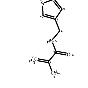 C=C(C)C(=O)NCc1ccsc1